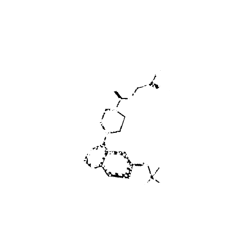 C=C(C)CNC(=S)N1CCN(c2ncnc3ccc(OC(F)(F)F)cc23)CC1